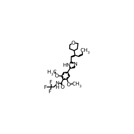 C/C=C\C(=C/c1ncc(-c2cc(OC)c(C(=O)NCC(F)(F)F)c(OC)c2)[nH]1)C1CCOCC1